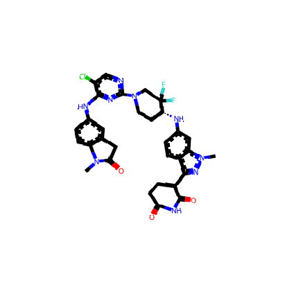 CN1C(=O)Cc2cc(Nc3nc(N4CC[C@@H](Nc5ccc6c(C7CCC(=O)NC7=O)nn(C)c6c5)C(F)(F)C4)ncc3Cl)ccc21